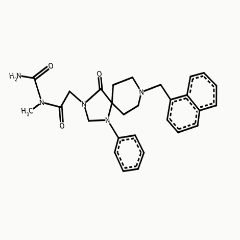 CN(C(N)=O)C(=O)CN1CN(c2ccccc2)C2(CCN(Cc3cccc4ccccc34)CC2)C1=O